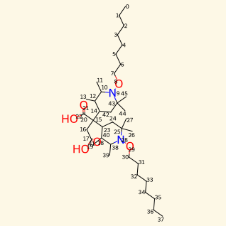 CCCCCCCCON1C(C)C(C)C(C(CC(=O)O)(C(=O)O)C2CC(C)(C)N(OCCCCCCCC)C(C)C2C)CC1(C)C